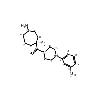 CC[C@]1(C(=O)N2CCN(c3cc(C(F)(F)F)ccn3)CC2)CCC[C@@H](N)CC1